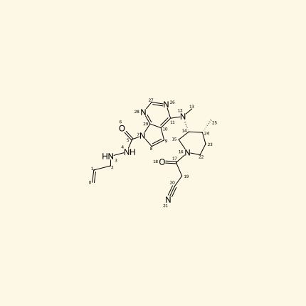 C=CCNNC(=O)n1ccc2c(N(C)[C@H]3CN(C(=O)CC#N)CC[C@H]3C)ncnc21